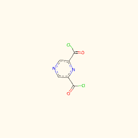 O=C(Cl)c1cncc(C(=O)Cl)n1